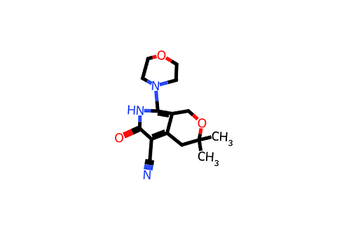 CC1(C)Cc2c(c(N3CCOCC3)[nH]c(=O)c2C#N)CO1